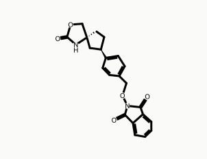 O=C1N[C@@]2(CC[C@@H](c3ccc(CON4C(=O)c5ccccc5C4=O)cc3)C2)CO1